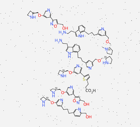 CN1CCC[C@H]1COCc1cncc(CCCc2cccc3c(CCN)c[nH]c23)c1.NCCc1c[nH]c2c(CCCc3cncc(COC[C@@H]4CCCN4)c3)cccc12.O=C(O)CCc1ccc(-c2cncc(OC[C@@H]3CCN3)c2)s1.OCc1cc(-c2cncc(OC[C@@H]3CCN3)c2)no1.OCc1cc(-c2cncc(OC[C@@H]3CCN3)c2)on1.OCc1ccc(CCCc2cncc(OC[C@@H]3CCN3)c2)cn1